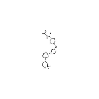 CC(=O)N[C@@H](C)c1ccc(O[C@@H]2CCN(c3cccc(N4CCOC(C)(C)C4)n3)C2)cc1